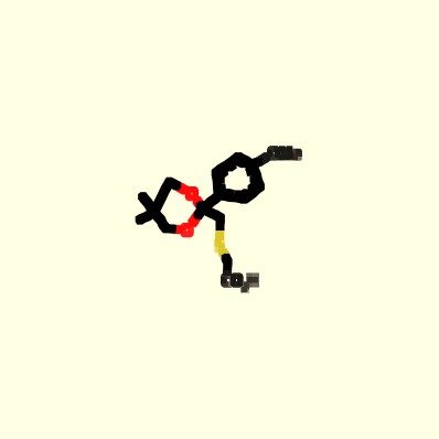 COc1ccc(C2(CSCC(=O)O)OCC(C)(C)CO2)cc1